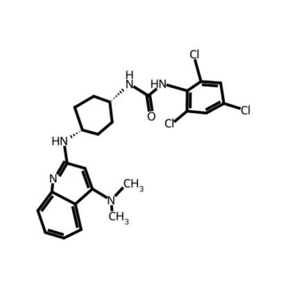 CN(C)c1cc(N[C@H]2CC[C@@H](NC(=O)Nc3c(Cl)cc(Cl)cc3Cl)CC2)nc2ccccc12